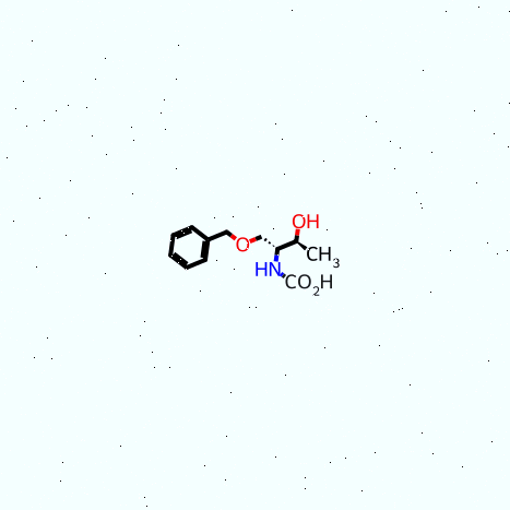 C[C@H](O)[C@@H](COCc1ccccc1)NC(=O)O